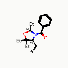 CC[C@@H]1OC(CC)(CC)[C@H](CC(C)C)N1C(=O)c1ccccc1